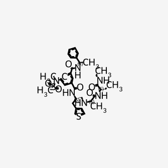 CCNC(=O)[C@H](CC)NC(=O)[C@H](C)NC[C@H](Cc1ccsc1)NC(=O)c1cc(C(=O)N[C@H](C)c2ccccc2)cc(N(C)S(C)(=O)=O)c1